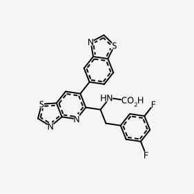 O=C(O)NC(Cc1cc(F)cc(F)c1)c1nc2ncsc2cc1-c1ccc2scnc2c1